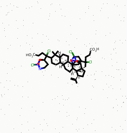 C=C(C)[C@@H]1CC[C@]2(CC(Cl)(CCC(=O)O)C34CCN(CC3)N(Cl)C4)CC[C@]3(C)[C@H](CC[C@@H]4[C@@]5(C)CCC(C(Cl)(CCC(=O)O)C67CCN(CC6)N(Cl)C7)C(C)(C)[C@@H]5CC[C@]43C)[C@@H]12